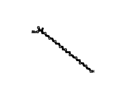 COC(=O)C(C)=COCCOCCOCCOCCOCCOCCOCCOCCOCCO